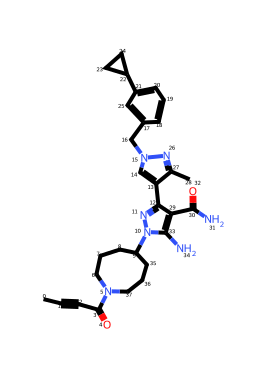 CC#CC(=O)N1CCCC(n2nc(-c3cn(Cc4cccc(C5CC5)c4)nc3C)c(C(N)=O)c2N)CCC1